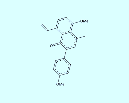 C=Cc1ccc(OC)c2c1c(=O)c(-c1ccc(OC)cc1)cn2C